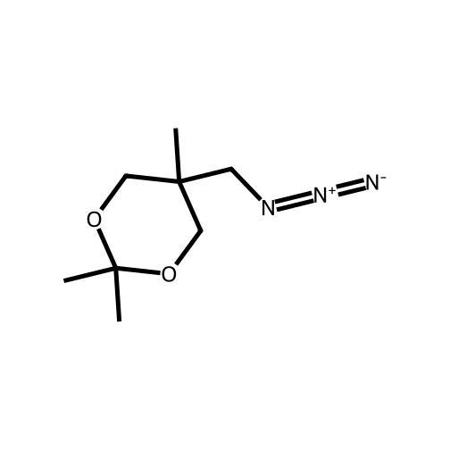 CC1(CN=[N+]=[N-])COC(C)(C)OC1